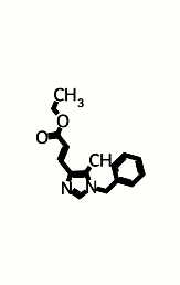 CCOC(=O)C=Cc1ncn(Cc2ccccc2)c1C